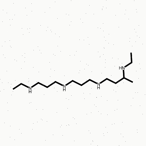 CCNCCCNCCCNCCC(C)NCC